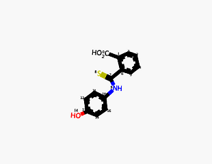 O=C(O)c1ccccc1C(=S)Nc1ccc(O)cc1